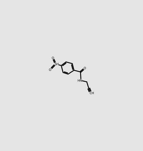 C#CCNC(=O)c1ccc([SH](=O)=O)cc1